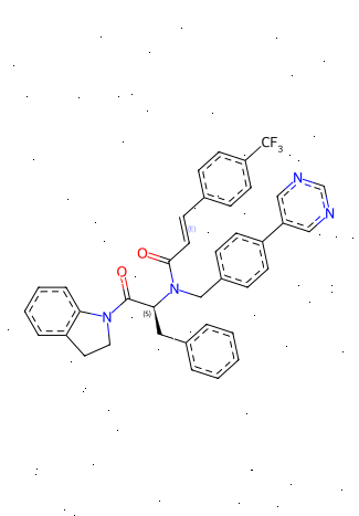 O=C([C@H](Cc1ccccc1)N(Cc1ccc(-c2cncnc2)cc1)C(=O)/C=C/c1ccc(C(F)(F)F)cc1)N1CCc2ccccc21